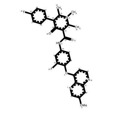 COc1cnc2c(Oc3ccc(NC(=O)c4c(C)n(C)c(C)c(-c5ccc(F)cc5)c4=O)cc3F)ccnc2c1